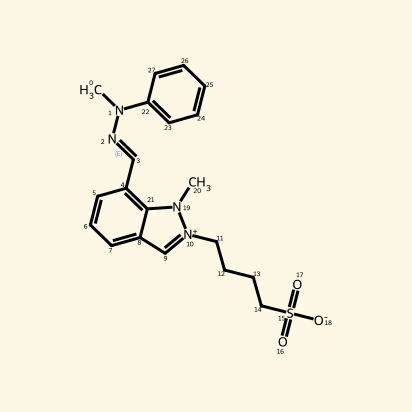 CN(/N=C/c1cccc2c[n+](CCCCS(=O)(=O)[O-])n(C)c12)c1ccccc1